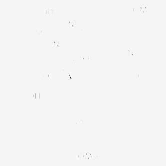 COCCCN1CCOc2ccc(CO[C@H]3CN(C(=O)C(N)C(C)C)C[C@@H](OCC(C)O)[C@@H]3c3ccc(COCCOC)cc3)cc21